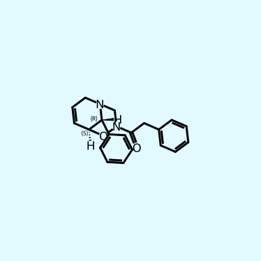 O=C(Cc1ccccc1)N1CN2CC=C[C@H](O1)[C@H]2c1ccccc1